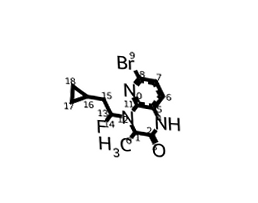 CC1C(=O)Nc2ccc(Br)nc2N1C(F)CC1CC1